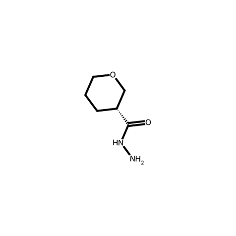 NNC(=O)[C@@H]1CCCOC1